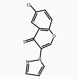 S=c1c(-n2cccn2)coc2ccc(Cl)cc12